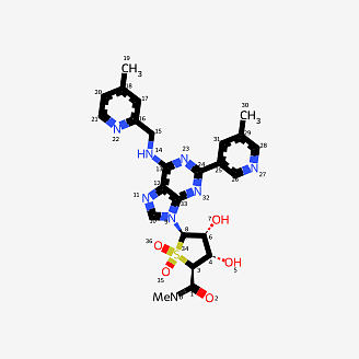 CNC(=O)[C@@H]1[C@@H](O)[C@@H](O)[C@H](n2cnc3c(NCc4cc(C)ccn4)nc(-c4cncc(C)c4)nc32)S1(=O)=O